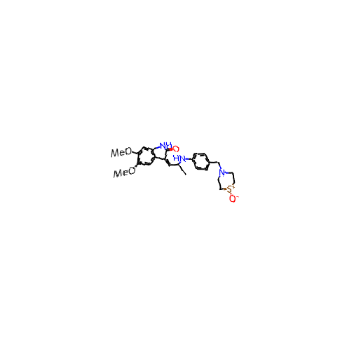 COc1cc2c(cc1OC)C(=CC(C)Nc1ccc(CN3CC[S+]([O-])CC3)cc1)C(=O)N2